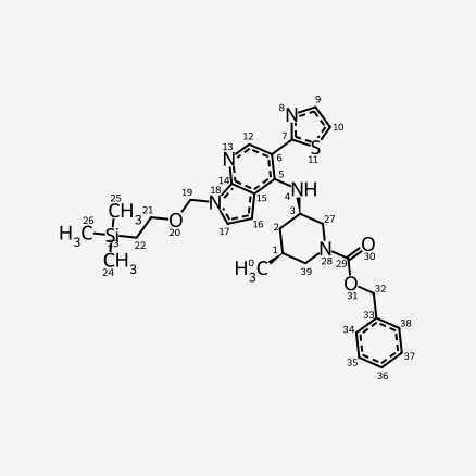 C[C@H]1C[C@@H](Nc2c(-c3nccs3)cnc3c2ccn3COCC[Si](C)(C)C)CN(C(=O)OCc2ccccc2)C1